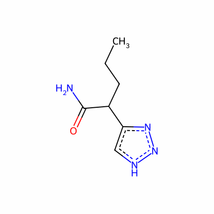 CCCC(C(N)=O)c1c[nH]nn1